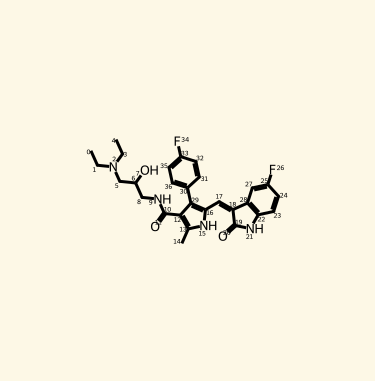 CCN(CC)CC(O)CNC(=O)c1c(C)[nH]c(C=C2C(=O)Nc3ccc(F)cc32)c1-c1ccc(F)cc1